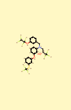 O[C@H](CN(Cc1cccc(OC(F)(F)C(F)F)c1)c1cccc(Oc2cccc(SC(F)(F)F)c2)c1)C(F)(F)F